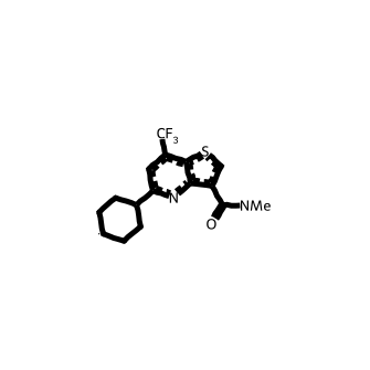 CNC(=O)c1csc2c(C(F)(F)F)cc(C3CC[CH]CC3)nc12